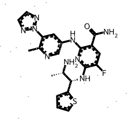 Cc1ncc(Nc2nc(N[C@H](c3cccs3)[C@H](C)N)c(F)cc2C(N)=O)cc1-n1nccn1